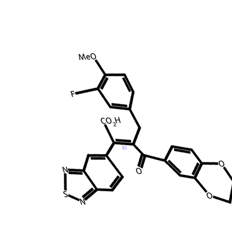 COc1ccc(C/C(C(=O)c2ccc3c(c2)OCCO3)=C(\C(=O)O)c2ccc3nsnc3c2)cc1F